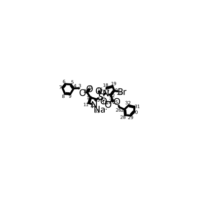 O=C(OCc1ccccc1)C1=CN=C1S(=O)(=O)n1ccc(Br)c1C(=O)OCc1ccccc1.[Na]